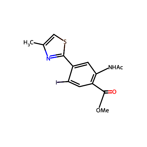 COC(=O)c1cc(I)c(-c2nc(C)cs2)cc1NC(C)=O